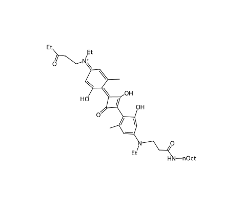 CCCCCCCCNC(=O)CCN(CC)c1cc(C)c(C2=C(O)/C(=C3C(C)=C/C(=[N+](\CC)CCC(=O)CC)C=C\3O)C2=O)c(O)c1